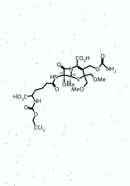 COCC1(COC)S[C@@H]2N(C(=O)[C@]2(NC(=O)CCCC(NC(=O)OCC(Cl)(Cl)Cl)C(=O)O)OC)C(C(=O)O)=C1COC(N)=O